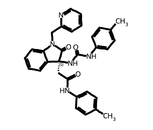 Cc1ccc(NC(=O)C[C@@]2(NC(=O)Nc3ccc(C)cc3)C(=O)N(Cc3ccccn3)c3ccccc32)cc1